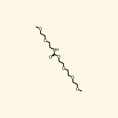 COCCOCCNC(=O)OCCOCCOCCOC